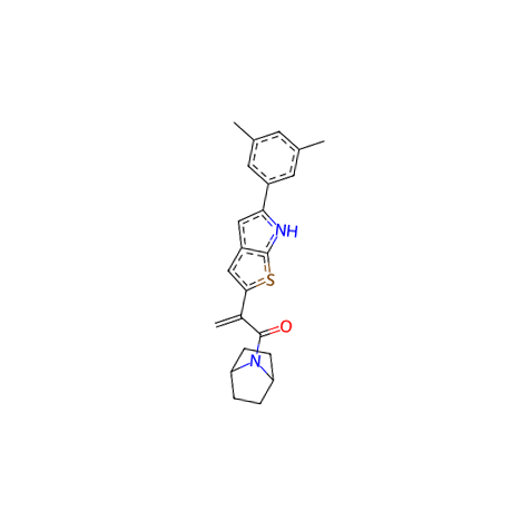 C=C(C(=O)N1C2CCC1CC2)c1cc2cc(-c3cc(C)cc(C)c3)[nH]c2s1